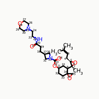 CC(C)=CC[C@H]1O[C@]1(C)C1CC(OC(=O)N2CC(CCC(=O)NCCN3CCOCC3)C2)CCC12CO2